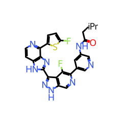 CC(C)CC(=O)Nc1cncc(-c2ncc3[nH]nc(-c4nc5c(-c6ccc(F)s6)nccc5[nH]4)c3c2F)c1